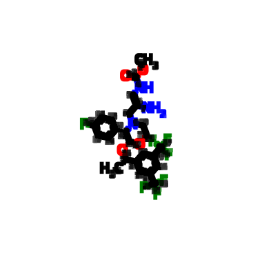 COC(=O)N/C=C(\N)CN1CCO[C@H](O[C@H](C)c2cc(C(F)(F)F)cc(C(F)(F)F)c2)[C@@H]1c1ccc(F)cc1